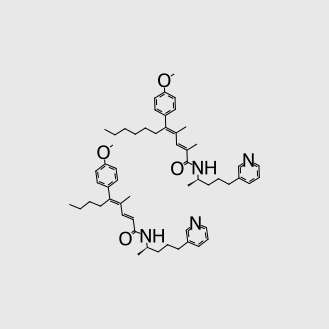 CCCC/C(=C(C)\C=C\C(=O)N[C@H](C)CCCc1cccnc1)c1ccc(OC)cc1.CCCCCC/C(=C(C)\C=C(/C)C(=O)N[C@H](C)CCCc1cccnc1)c1ccc(OC)cc1